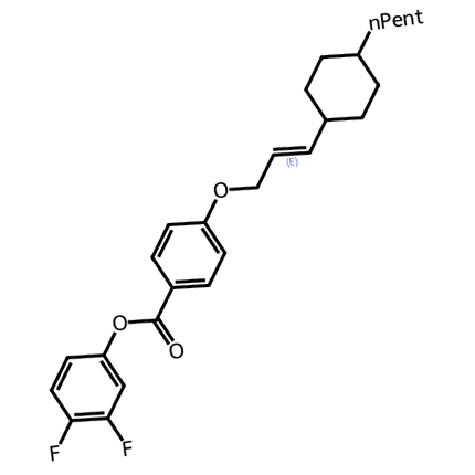 CCCCCC1CCC(/C=C/COc2ccc(C(=O)Oc3ccc(F)c(F)c3)cc2)CC1